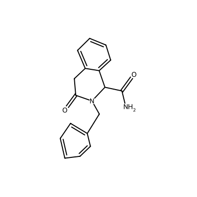 NC(=O)C1c2ccccc2CC(=O)N1Cc1ccccc1